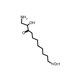 CCCCCCCCCCCCCCCCC(=O)C(O)CN